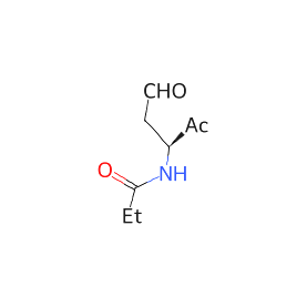 CCC(=O)N[C@@H](CC=O)C(C)=O